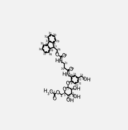 CC(=O)OC[C@H]1O[C@@H](Oc2ccc(CO)cc2NC(=O)CCNC(=O)OCC2c3ccccc3-c3ccccc32)[C@H](O)[C@@H](O)[C@@H]1O